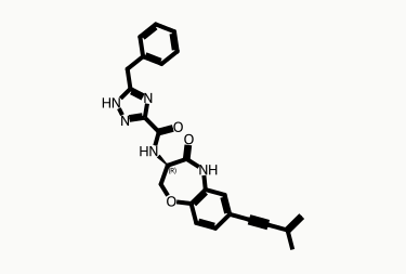 C=C(C)C#Cc1ccc2c(c1)NC(=O)[C@H](NC(=O)c1n[nH]c(Cc3ccccc3)n1)CO2